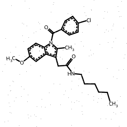 CCCCCCNC(=O)Cc1c(C)n(C(=O)c2ccc(Cl)cc2)c2ccc(OC)cc12